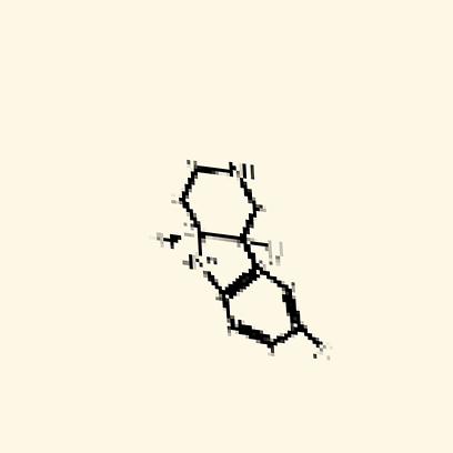 Clc1ccc2c(c1)[C@H]1CNCC[C@@H]1N2